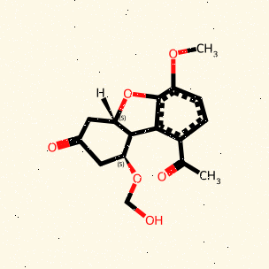 COc1ccc(C(C)=O)c2c1O[C@H]1CC(=O)C[C@H](OCO)C21